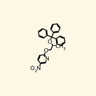 C[C@@H](COc1ccc([N+](=O)[O-])cn1)OC(c1ccccc1)(c1ccccc1)c1ccccc1